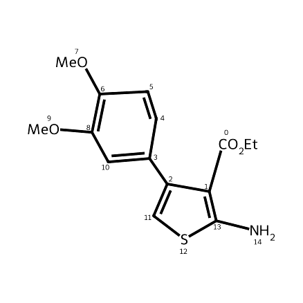 CCOC(=O)c1c(-c2ccc(OC)c(OC)c2)csc1N